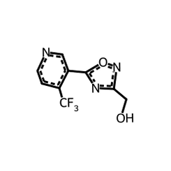 OCc1noc(-c2cnccc2C(F)(F)F)n1